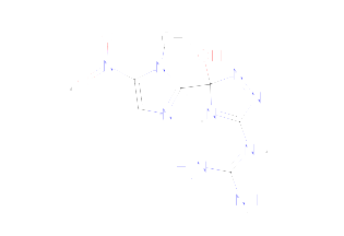 Cn1c([N+](=O)[O-])cnc1C1(O)N=NC(N=C(N)N)=N1